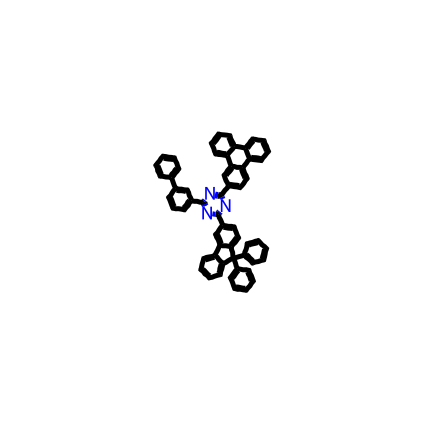 c1ccc(-c2cccc(-c3nc(-c4ccc5c(c4)-c4ccccc4C5(c4ccccc4)c4ccccc4)nc(-c4ccc5c6ccccc6c6ccccc6c5c4)n3)c2)cc1